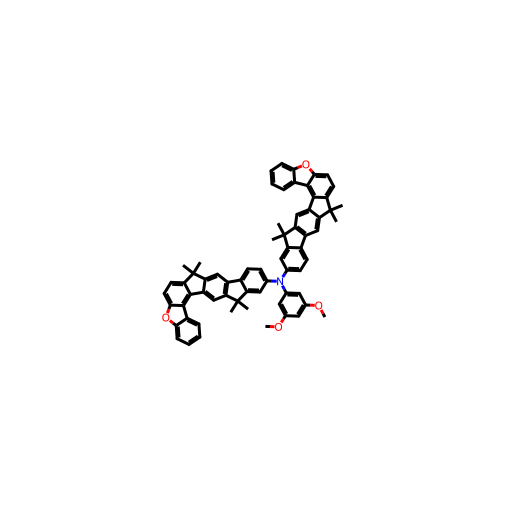 COc1cc(OC)cc(N(c2ccc3c(c2)C(C)(C)c2cc4c(cc2-3)C(C)(C)c2ccc3oc5ccccc5c3c2-4)c2ccc3c(c2)C(C)(C)c2cc4c(cc2-3)C(C)(C)c2ccc3oc5ccccc5c3c2-4)c1